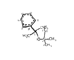 CC(C#N)(O[Si](C)(C)C)c1ccccc1